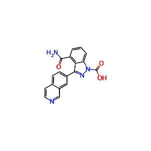 NC(=O)c1cccc2c1c(-c1ccc3ccncc3c1)nn2C(=O)O